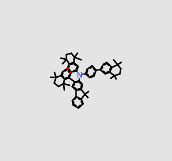 CC1(C)CCC(C)(C)c2cc(-c3ccc(N(c4ccc5c(c4)C(C)(C)CCC5(C)C)c4cc5c(cc4-c4cccc6c4C(C)(C)CCC6(C)C)-c4ccccc4C5(C)C)cc3)ccc21